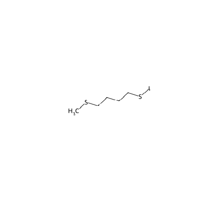 CSCCCCSI